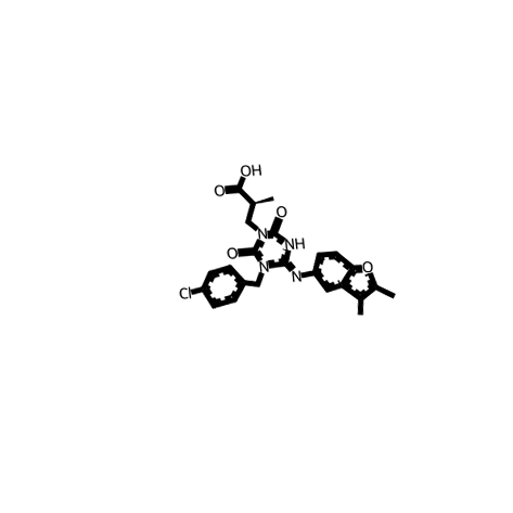 Cc1oc2ccc(/N=c3\[nH]c(=O)n(C[C@H](C)C(=O)O)c(=O)n3Cc3ccc(Cl)cc3)cc2c1C